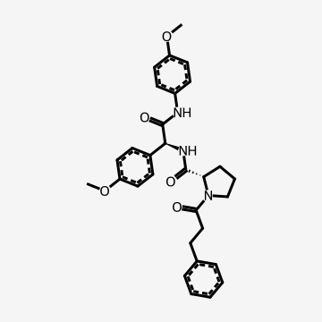 COc1ccc(NC(=O)[C@@H](NC(=O)[C@@H]2CCCN2C(=O)CCc2ccccc2)c2ccc(OC)cc2)cc1